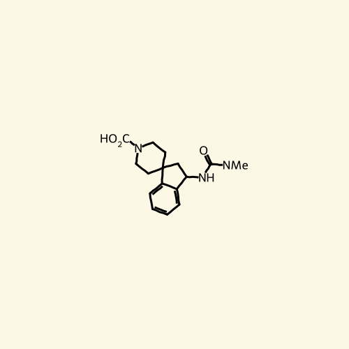 CNC(=O)NC1CC2(CCN(C(=O)O)CC2)c2ccccc21